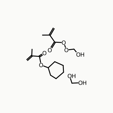 C=C(C)C(=O)OC1CCCCC1.C=C(C)C(=O)OOCO.OCO